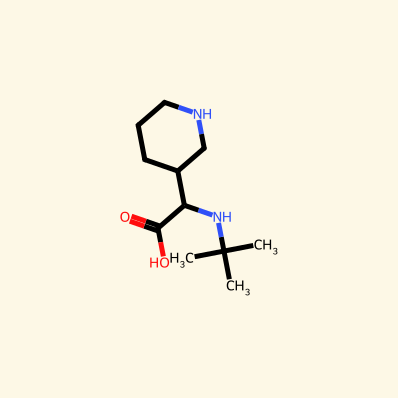 CC(C)(C)NC(C(=O)O)C1CCCNC1